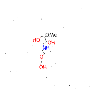 COC(CO)C(O)CNCCOCCO